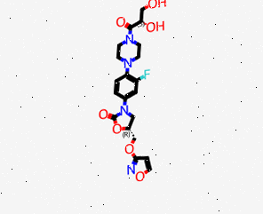 O=C([C@@H](O)CO)N1CCN(c2ccc(N3C[C@H](COc4ccon4)OC3=O)cc2F)CC1